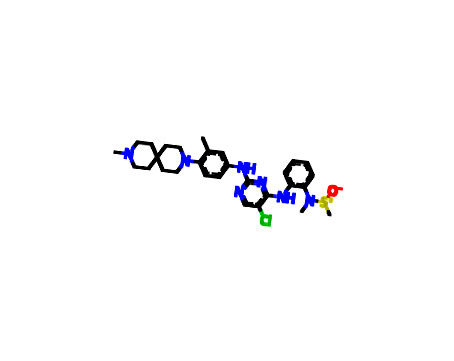 Cc1cc(Nc2ncc(Cl)c(Nc3ccccc3N(C)[S+](C)[O-])n2)ccc1N1CCC2(CCN(C)CC2)CC1